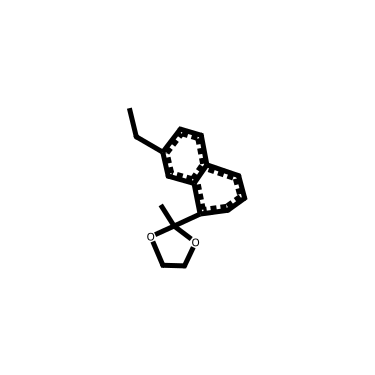 CCc1ccc2cccc(C3(C)OCCO3)c2c1